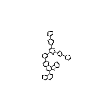 c1ccc(-c2ccc(-c3cc(-c4cccc(-c5ccc6nc(-c7cccc8ccccc78)c7sc8ccccc8c7c6c5)c4)nc(-c4ccc(-c5ccccc5)cc4)n3)cc2)cc1